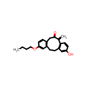 C=C1C(=O)Cc2ccc(OCCCC)cc2CCc2cc(O)ccc21